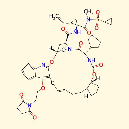 C=C[C@@H]1C[C@]1(NC(=O)[C@@H]1C[C@@H]2CN1C(=O)[C@H](C1CCCC1)NC(=O)O[C@@H]1CCC[C@H]1CC/C=C/Cc1c(nc3ccccc3c1OCCN1C(=O)CCC1=O)O2)C(=O)N(C)S(=O)(=O)C1CC1